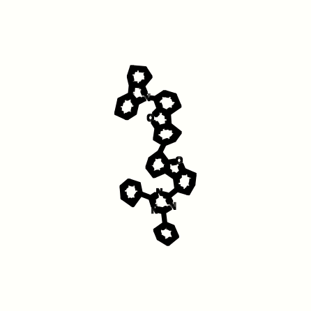 c1ccc(-c2nc(-c3ccccc3)nc(-c3cccc4oc5c(-c6ccc7c(c6)oc6c(-n8c9ccccc9c9ccccc98)cccc67)cccc5c34)n2)cc1